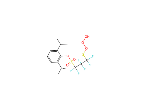 CC(C)c1cccc(C(C)C)c1OS(=O)(=O)C(F)(F)C(F)(F)C(F)(F)SOOO